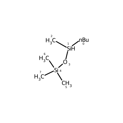 CCCC[SiH](C)O[Si](C)(C)C